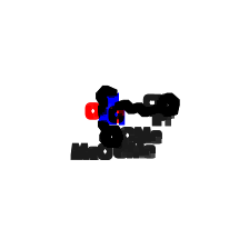 COc1cc(CNC(=O)[C@H]2CCCN2C(=O)CCCCC(C#N)(c2ccccc2)C(C)C)cc(OC)c1OC